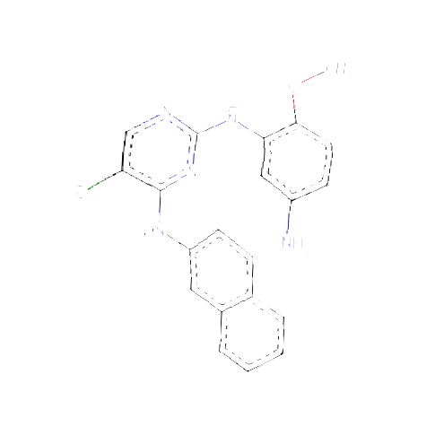 COc1ccc(N)cc1Nc1ncc(Cl)c(Nc2ccc3ccccc3c2)n1